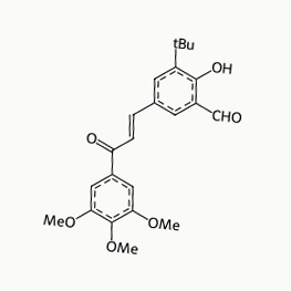 COc1cc(C(=O)C=Cc2cc(C=O)c(O)c(C(C)(C)C)c2)cc(OC)c1OC